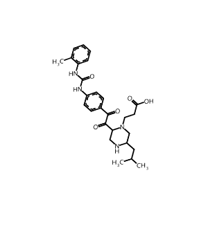 Cc1ccccc1NC(=O)Nc1ccc(C(=O)C(=O)C2CNC(CC(C)C)CN2CCC(=O)O)cc1